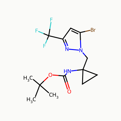 CC(C)(C)OC(=O)NC1(Cn2nc(C(F)(F)F)cc2Br)CC1